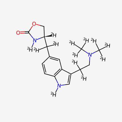 [2H]N1C(=O)OC[C@]1([2H])C([2H])([2H])c1ccc2c(c1)c(C([2H])([2H])CN(C([2H])([2H])[2H])C([2H])([2H])[2H])cn2[2H]